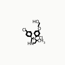 CC1CNC[C@@H](c2ccc(Cl)cc2)N1c1ccc(OCCO)cc1Cl